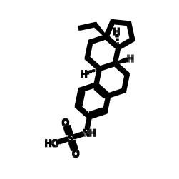 CC[C@@]12CCC[C@H]1[C@@H]1CCc3cc(NS(=O)(=O)O)ccc3[C@H]1CC2